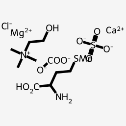 CSCCC(N)C(=O)O.C[N+](C)(C)CCO.O=C([O-])[O-].O=S(=O)([O-])[O-].[Ca+2].[Cl-].[Mg+2]